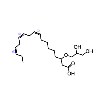 CC/C=C\C/C=C\C/C=C\CCCCCC(CC(=O)O)OCC(O)CO